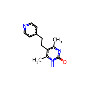 Cc1nc(=O)[nH]c(C)c1CCc1ccncc1